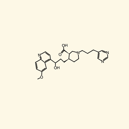 COc1ccc2nccc(C(O)CC[C@@H]3CCN(CCCc4cncnc4)C[C@@H]3C(=O)O)c2c1